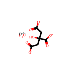 O.O=C([O-])CC(O)(CC(=O)[O-])C(=O)[O-].[Fe+3]